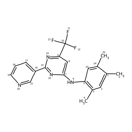 Cc1cc(C)c(Nc2cc(C(F)(F)F)nc(-c3cccnc3)n2)cc1C